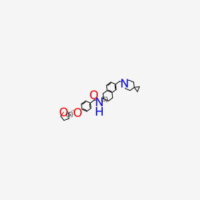 O=C(N[C@H]1CCc2cc(CN3CCC4(CC3)CC4)ccc2C1)c1ccc(OC[C@@H]2CCCO2)cc1